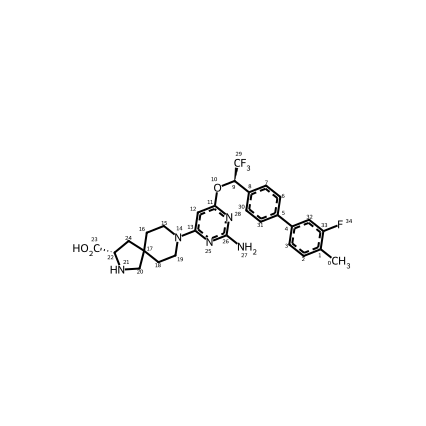 Cc1ccc(-c2ccc([C@@H](Oc3cc(N4CCC5(CC4)CN[C@H](C(=O)O)C5)nc(N)n3)C(F)(F)F)cc2)cc1F